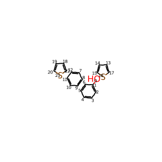 Oc1ccccc1.c1ccccc1.c1ccsc1.c1ccsc1